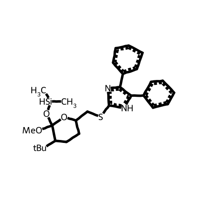 COC1(O[SiH](C)C)OC(CSc2nc(-c3ccccc3)c(-c3ccccc3)[nH]2)CCC1C(C)(C)C